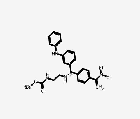 C=C(c1ccc([C@H](NCCNC(=O)OC(C)(C)C)c2cccc(Nc3ccccc3)c2)cc1)N(CC)CC